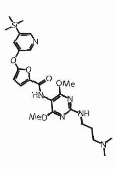 COc1nc(NCCCN(C)C)nc(OC)c1NC(=O)c1ccc(Oc2cncc([Si](C)(C)C)c2)o1